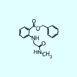 CNC(=O)CNc1ccccc1C(=O)OCc1ccccc1